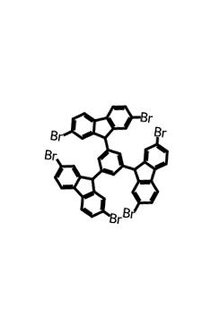 Brc1ccc2c(c1)C(c1cc(C3c4cc(Br)ccc4-c4ccc(Br)cc43)cc(C3c4cc(Br)ccc4-c4ccc(Br)cc43)c1)c1cc(Br)ccc1-2